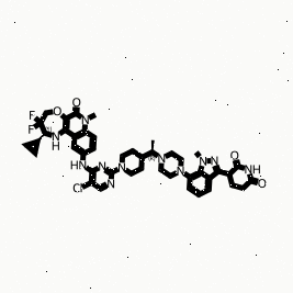 C[C@H](C1CCN(c2ncc(Cl)c(Nc3ccc4c(c3)c3c(c(=O)n4C)OCC(F)(F)[C@H](C4CC4)N3)n2)CC1)N1CCN(c2cccc3c(C4CCC(=O)NC4=O)nn(C)c23)CC1